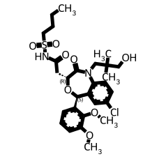 CCCCS(=O)(=O)NC(=O)C[C@H]1O[C@H](c2cccc(OC)c2OC)c2cc(Cl)ccc2N(CC(C)(C)CO)C1=O